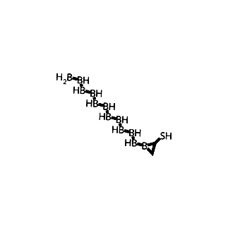 BBBBBBBBBBBB1CC1S